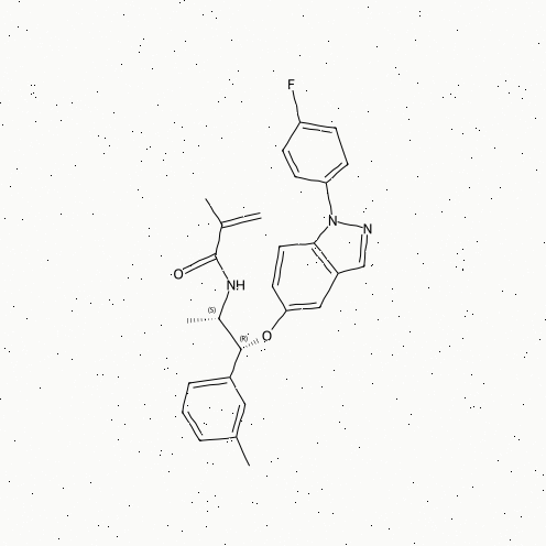 C=C(C)C(=O)N[C@@H](C)[C@H](Oc1ccc2c(cnn2-c2ccc(F)cc2)c1)c1cccc(C)c1